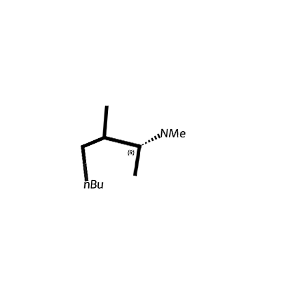 CCCCCC(C)[C@@H](C)NC